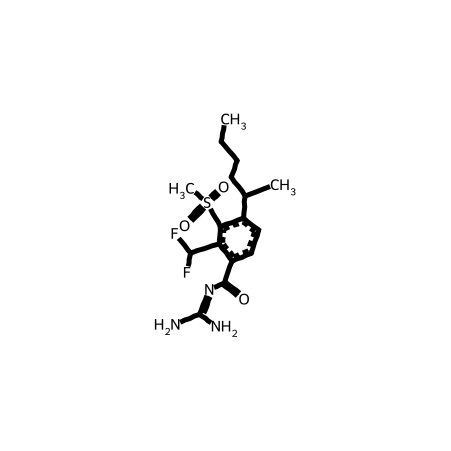 CCCCC(C)c1ccc(C(=O)N=C(N)N)c(C(F)F)c1S(C)(=O)=O